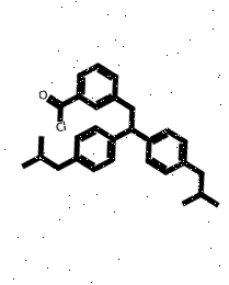 CC(C)Cc1ccc(C(Cc2cccc(C(=O)Cl)c2)c2ccc(CC(C)C)cc2)cc1